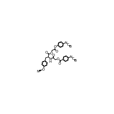 N#COc1ccc(CC(NC(=O)COC(=O)c2ccc(N=C=O)cc2)C(=O)OCC(=O)Oc2ccc(N=C=O)cc2)cc1